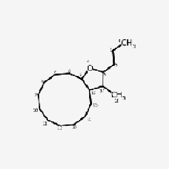 CCCC1OC2CCCCCCCCCCC2C1C